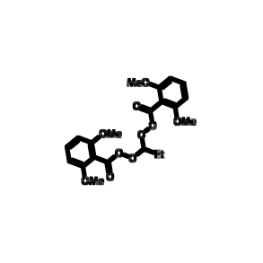 [CH2]C[C](OOC(=O)c1c(OC)cccc1OC)OOC(=O)c1c(OC)cccc1OC